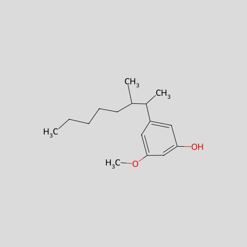 CCCCCC(C)C(C)c1cc(O)cc(OC)c1